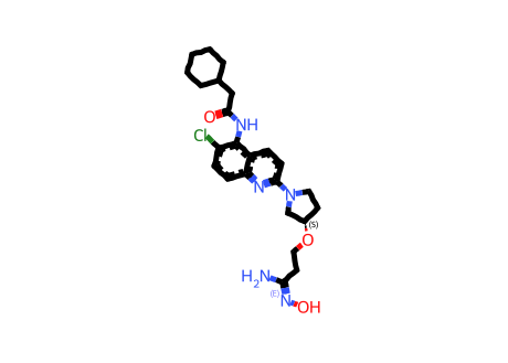 N/C(CCO[C@H]1CCN(c2ccc3c(NC(=O)CC4CCCCC4)c(Cl)ccc3n2)C1)=N/O